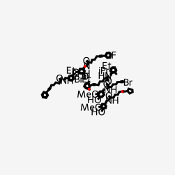 CCOc1cc(CNC(=O)CCCCC#Cc2ccc(F)cc2)cc(OCC)c1.CCc1ccc(C)c(CNC(=O)CCCCC#Cc2c(C)cccc2C)c1C(C)C.COc1cc(CNC(=O)CCCCC#CBr)ccc1O.COc1cc(CNC(=O)CCCCC#CC2CCCC2)ccc1O.O=C(CCCCC#Cc1ccccc1)NCc1ccc(Br)c(Br)c1